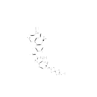 N#Cc1ccc(C(=O)c2nc3ccc(N4CC5(CNC5)C4)nc3[nH]2)cc1-c1cncc2[nH]ccc12